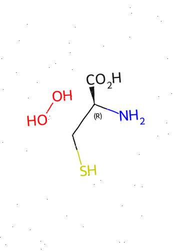 N[C@@H](CS)C(=O)O.OO